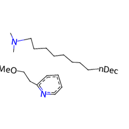 CCCCCCCCCCCCCCCCCCN(C)C.COCCc1ccccn1